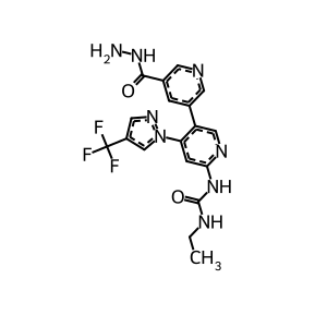 CCNC(=O)Nc1cc(-n2cc(C(F)(F)F)cn2)c(-c2cncc(C(=O)NN)c2)cn1